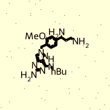 CCCCNc1nc(N)nc2cn(Cc3ccc([C@H](N)CCN)cc3OC)nc12